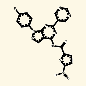 O=C(Nc1nc(-c2cncnc2)nc2c1cnn2-c1ccc(F)cc1)c1ccc([N+](=O)[O-])s1